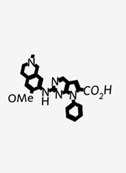 COc1cc2c(cc1Nc1ncc3cc(C(=O)O)n(-c4ccccc4)c3n1)CN(C)CC2